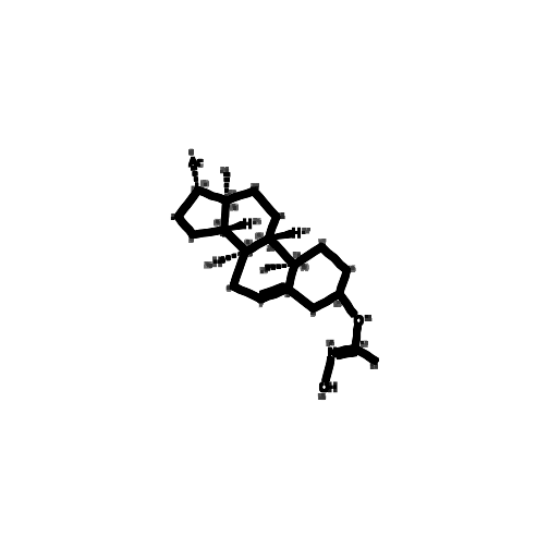 CC(=O)[C@H]1CC[C@H]2[C@@H]3CC=C4CC(OC(C)=NO)CC[C@]4(C)[C@H]3CC[C@]12C